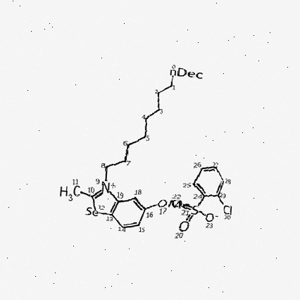 CCCCCCCCCCCCCCCCCC[n+]1c(C)[se]c2ccc(OC)cc21.O=S(=O)([O-])c1ccccc1Cl